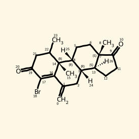 C=C1C[C@@H]2[C@@H](CC[C@]3(C)C(=O)CC[C@@H]23)[C@]2(C)C1=C(Br)C(=O)CC2C